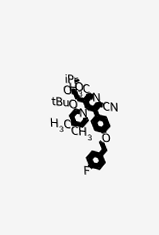 Cc1nc(C#N)c(-c2ccc(OCCc3ccc(F)cc3)cc2)c(N2CCC(C)(C)CC2)c1C(OC(C)(C)C)C(=O)OC(C)C